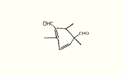 CC1=C(C=O)C(C)C(C)(C=O)C=C1